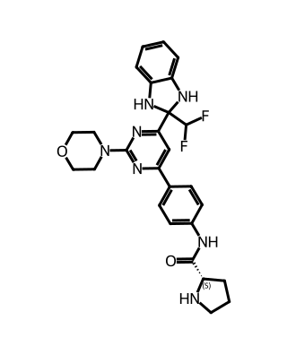 O=C(Nc1ccc(-c2cc(C3(C(F)F)Nc4ccccc4N3)nc(N3CCOCC3)n2)cc1)[C@@H]1CCCN1